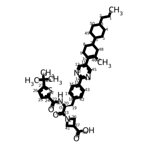 CCCC1CCC(C2CCC(c3cnc(-c4ccc(C[C@H](NC(=O)c5ccc(C(C)(C)C)s5)C(=O)N5CC(C(=O)O)C5)cc4)nc3)=C(C)C2)CC1